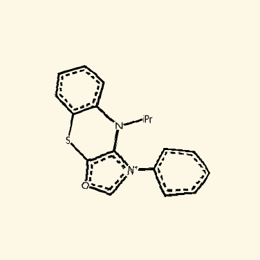 CC(C)N1c2ccccc2Sc2oc[n+](-c3ccccc3)c21